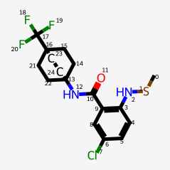 CSNc1ccc(Cl)cc1C(=O)NC12CCC(C(F)(F)F)(CC1)CC2